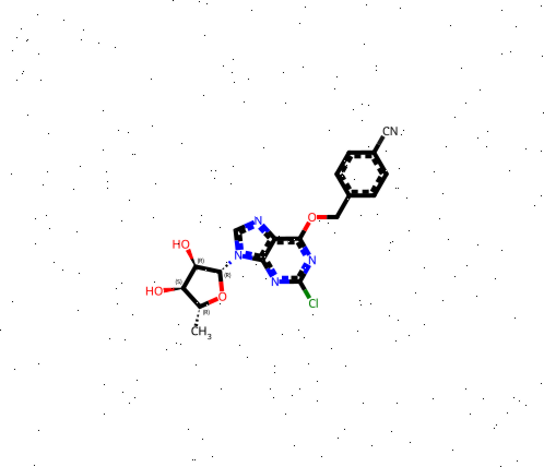 C[C@H]1O[C@@H](n2cnc3c(OCc4ccc(C#N)cc4)nc(Cl)nc32)[C@H](O)[C@@H]1O